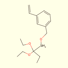 C=Cc1cccc(CO[SiH2]C(CC)(OCC)OCC)c1